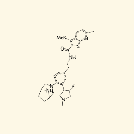 CNc1c(C(=O)NCCc2ccc(N3CC4CCC(C3)N4)c(C3CN(C)CC3F)c2)sc2nc(C)ccc12